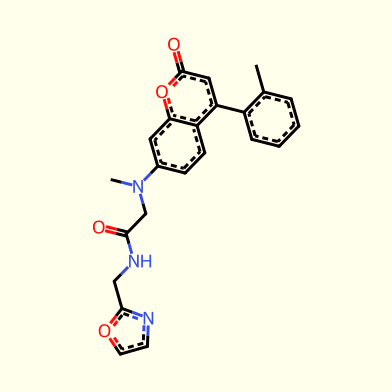 Cc1ccccc1-c1cc(=O)oc2cc(N(C)CC(=O)NCc3ncco3)ccc12